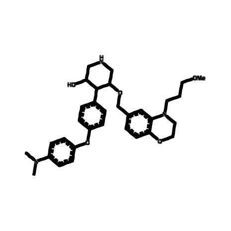 COCCCN1CCOc2ccc(COC3CNCC(O)C3c3ccc(Oc4ccc(N(C)C)cc4)cc3)cc21